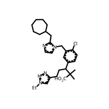 CCn1cc(CCC(c2ccc(Cl)c(Cn3ccnc3CC3CCCCCC3)c2)C(C)(C)C(=O)O)nn1